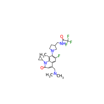 Cc1c(N2CCC(CNC(=O)C(F)(F)F)C2)c(F)cc2c(CN(C)C)cc(=O)n(C3CC3)c12